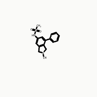 CS(=O)(=O)Nc1cc2c(c(-c3ccccc3)c1)CN(C#N)C2